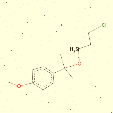 COc1ccc(C(C)(C)O[SiH2]CCCl)cc1